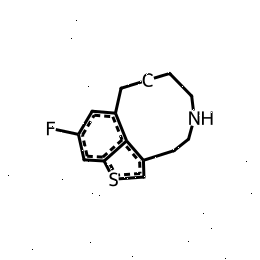 Fc1cc2c3c(csc3c1)CCNCCCC2